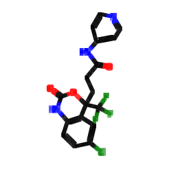 O=C(CCC1(C(F)(F)F)OC(=O)Nc2ccc(Cl)cc21)Nc1ccncc1